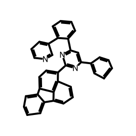 c1ccc(-c2cc(-c3ccccc3-c3cccnc3)nc(-c3ccc4c5c(cccc35)-c3ccccc3-4)n2)cc1